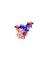 CCOC(=O)/C(C)=C\Nc1nc(-n2cc(C(=O)OCC)cn2)nc2c1ncn2[C@@H]1O[C@H](CO)[C@@H](O)[C@H]1O